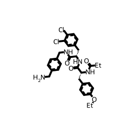 CCOc1ccc(C[C@@H](NC(=O)CC)C(=O)N[C@@H](Cc2ccc(Cl)c(Cl)c2)C(=O)NCc2ccc(CN)cc2)cc1